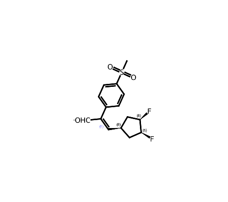 CS(=O)(=O)c1ccc(/C([C]=O)=C\[C@H]2C[C@@H](F)[C@@H](F)C2)cc1